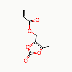 C=CC(=O)OCc1oc(=O)oc1C